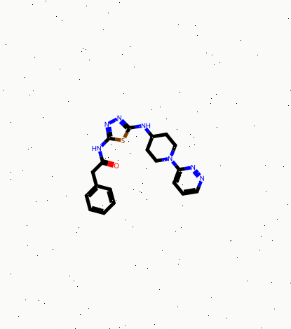 O=C(Cc1ccccc1)Nc1nnc(NC2CCN(c3cccnn3)CC2)s1